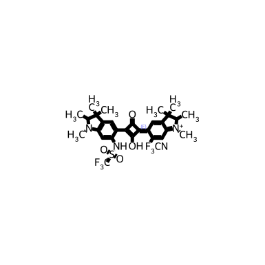 CC1N(C)c2cc(NS(=O)(=O)C(F)(F)F)c(C3=C(O)/C(=c4/cc5c(cc4NC(F)(F)F)=[N+](C)C(C)C5(C)C)C3=O)cc2C1(C)C